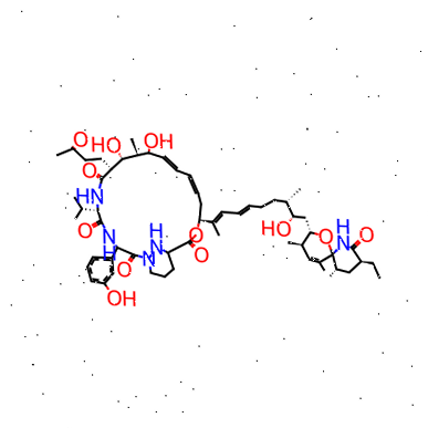 CC[C@H]1C[C@H](C)[C@@]2(NC1=O)O[C@@H](C[C@H](O)[C@@H](C)CC/C=C/C=C(\C)[C@@H]1C/C=C/C=C/[C@H](O)[C@H](C)[C@@H](O)[C@@H](CCC(C)=O)C(=O)N[C@@H](C(C)C)C(=O)NC(c3cccc(O)c3)C(=O)N3CCCC(N3)C(=O)O1)[C@H](C)C=C2C